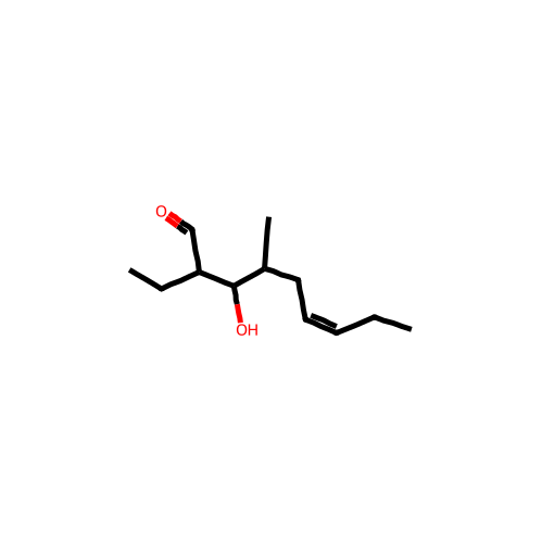 CC/C=C\CC(C)C(O)C(C=O)CC